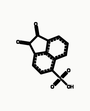 O=C1C(=O)c2ccc(S(=O)(=O)O)c3cccc1c23